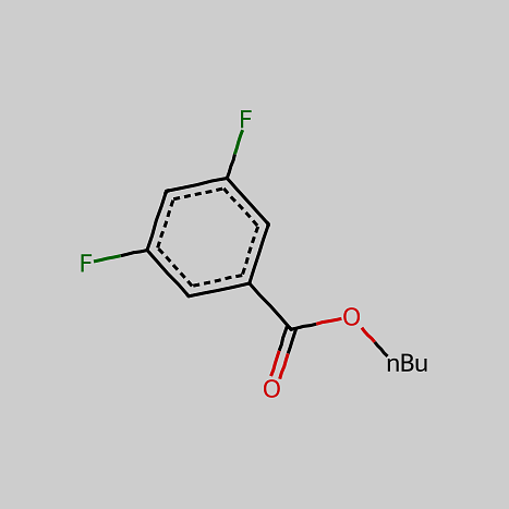 CCCCOC(=O)c1cc(F)cc(F)c1